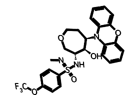 CN=S(=O)(N[C@@H]1COCC[C@@H](N2c3ccccc3Oc3ccccc32)[C@H]1O)c1ccc(OC(F)(F)F)cc1